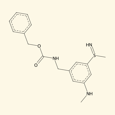 CNc1cc(CNC(=O)OCc2ccccc2)cc(S(C)=N)c1